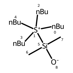 CCCC[S+](CCCC)(CCCC)(CCCC)[Si](C)(C)[O-]